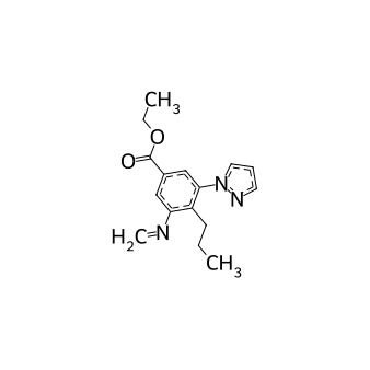 C=Nc1cc(C(=O)OCC)cc(-n2cccn2)c1CCC